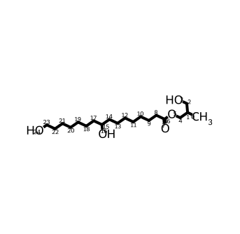 CC(CO)COC(=O)CCCCCCCC(O)CCCCCCCO